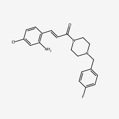 Nc1cc(Cl)ccc1C=CC(=O)N1CCN(Cc2ccc(F)cc2)CC1